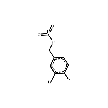 O=[SH](=O)O[CH]c1ccc(F)c(Br)c1